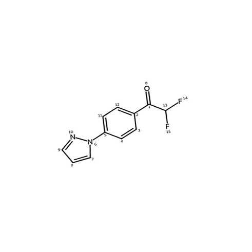 O=C(c1ccc(-n2cccn2)cc1)C(F)F